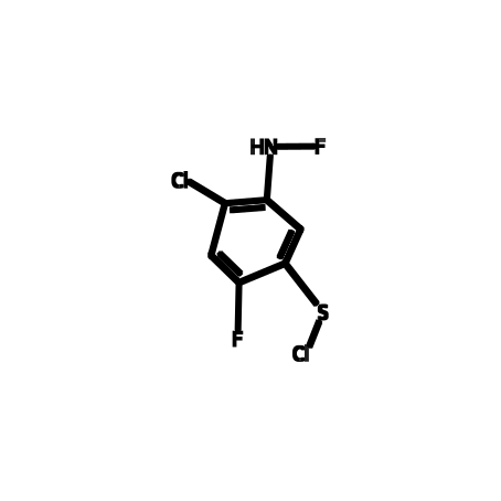 FNc1cc(SCl)c(F)cc1Cl